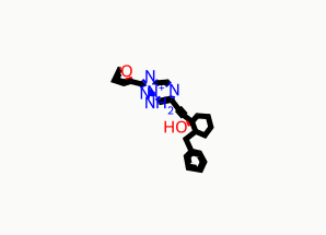 N[N+]12C=C(C#CC3(O)CCCCC3Cc3ccccc3)N=CC1=NC(c1ccco1)=N2